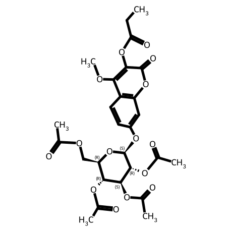 CCC(=O)Oc1c(OC)c2ccc(O[C@@H]3O[C@H](COC(C)=O)[C@@H](OC(C)=O)[C@H](OC(C)=O)[C@H]3OC(C)=O)cc2oc1=O